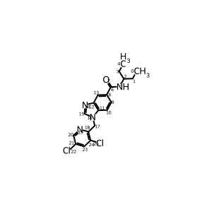 CCC(CC)NC(=O)c1ccc2c(c1)ncn2Cc1ncc(Cl)cc1Cl